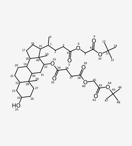 CC(CCC(=O)OCC(=O)OC(C)(C)C)C1CCC2C3CCC4CC(O)CCC4(C)C3CC(OC(=O)CCC(=O)OCC(=O)OC(C)(C)C)C12C